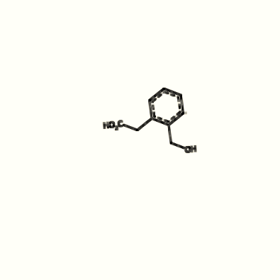 O=C(O)Cc1ccc[c]c1CO